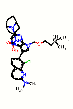 CN(C)c1ccc2ccc(-c3cn(COCC[Si](C)(C)C)c4nc(N5C6CCC5CC(NC(=O)O)C6)cnc34)c(Cl)c2n1